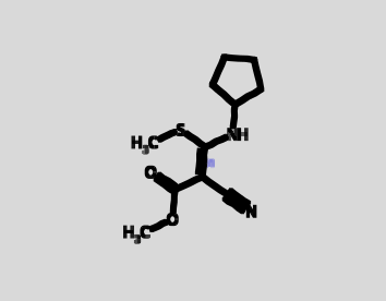 COC(=O)/C(C#N)=C(/NC1CCCC1)SC